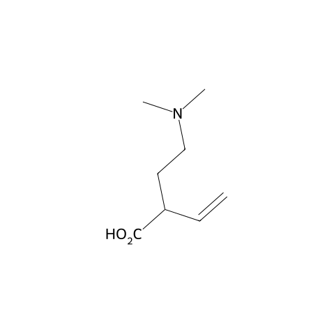 C=CC(CCN(C)C)C(=O)O